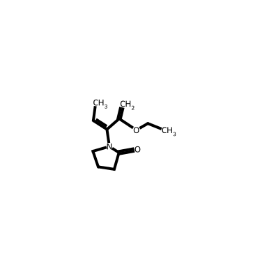 C=C(OCC)/C(=C\C)N1CCCC1=O